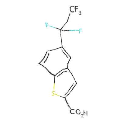 O=C(O)c1cc2cc(C(F)(F)C(F)(F)F)ccc2s1